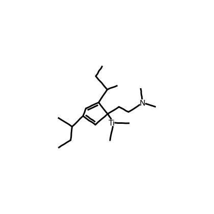 CCC(C)C1=C[C](CCN(C)C)([Ti]([CH3])[CH3])C(C(C)CC)=C1